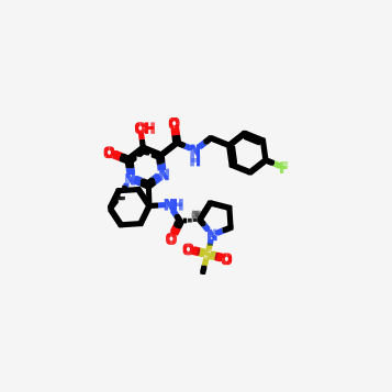 CS(=O)(=O)N1CCC[C@H]1C(=O)NC12CCC(CC1)Cn1c2nc(C(=O)NCC2=CCC(F)C=C2)c(O)c1=O